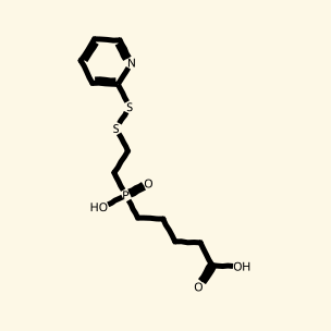 O=C(O)CCCCP(=O)(O)CCSSc1ccccn1